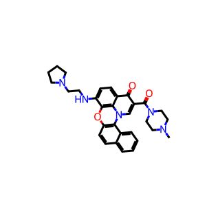 CN1CCN(C(=O)c2cn3c4c(c(NCCN5CCCC5)ccc4c2=O)Oc2ccc4ccccc4c2-3)CC1